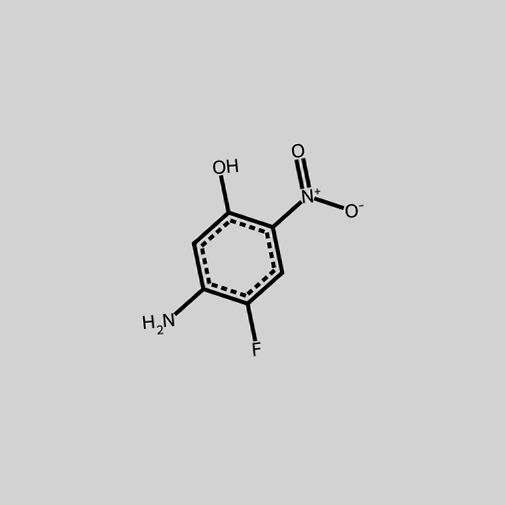 Nc1cc(O)c([N+](=O)[O-])cc1F